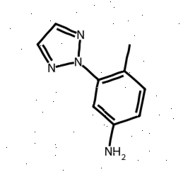 Cc1ccc(N)cc1-n1nccn1